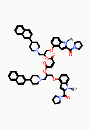 CC(C)n1c(C(=O)N2CCCC2)cc2c(OCC(CN3CCC(c4ccc5ccccc5c4)CC3)OC(=O)/C=C\C(=O)OC(COc3cccc4c3cc(C(=O)N3CCCC3)n4C(C)C)CN3CCC(c4ccc5ccccc5c4)CC3)cccc21